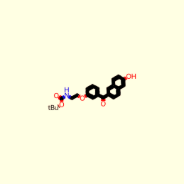 CC(C)(C)OC(=O)NCCOc1cccc(C(=O)c2ccc3cc(O)ccc3c2)c1